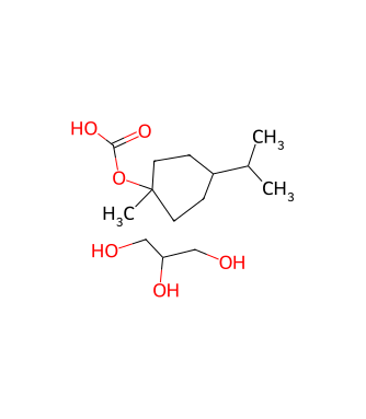 CC(C)C1CCC(C)(OC(=O)O)CC1.OCC(O)CO